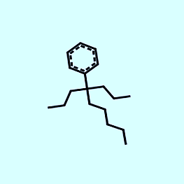 CCCCCC(CCC)(CCC)c1ccccc1